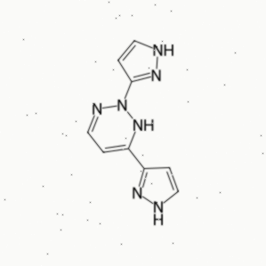 C1=NN(c2cc[nH]n2)NC(c2cc[nH]n2)=C1